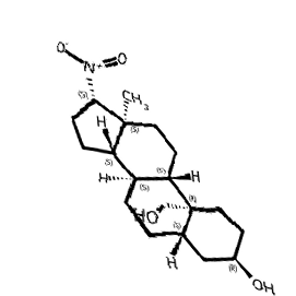 C[C@]12CC[C@H]3[C@@H](CC[C@H]4C[C@H](O)CC[C@@]43CO)[C@@H]1CC[C@@H]2[N+](=O)[O-]